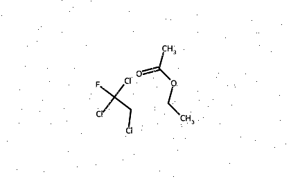 CCOC(C)=O.FC(Cl)(Cl)CCl